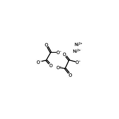 O=C([O-])C(=O)[O-].O=C([O-])C(=O)[O-].[Ni+2].[Ni+2]